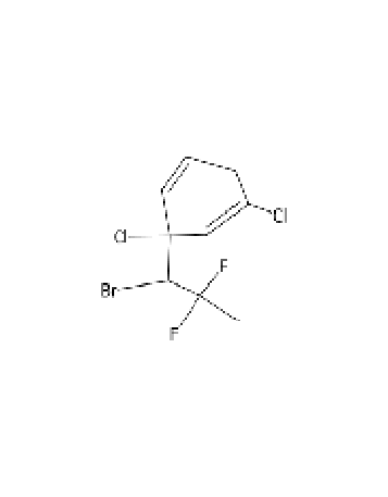 CC(F)(F)C(Br)C1(Cl)C=CCC(Cl)=C1